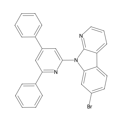 Brc1ccc2c3cccnc3n(-c3cc(-c4ccccc4)cc(-c4ccccc4)n3)c2c1